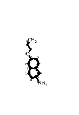 C=CCOc1ccc2cc(N)ccc2c1